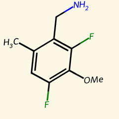 COc1c(F)cc(C)c(CN)c1F